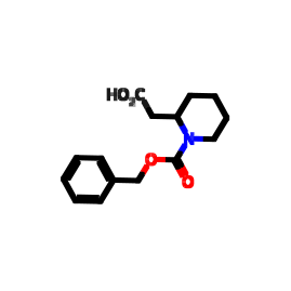 O=C(O)CC1CCCCN1C(=O)OCc1ccccc1